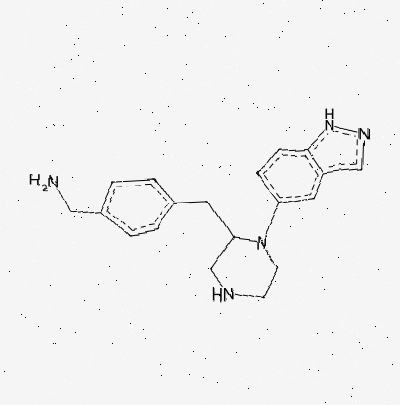 NCc1ccc(CC2CNCCN2c2ccc3[nH]ncc3c2)cc1